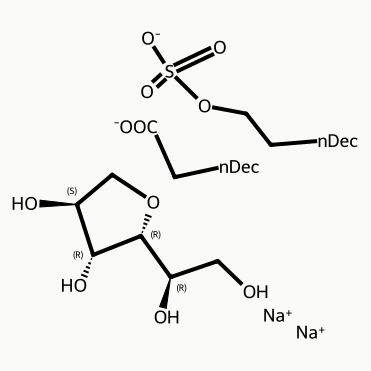 CCCCCCCCCCCC(=O)[O-].CCCCCCCCCCCCOS(=O)(=O)[O-].OC[C@@H](O)[C@H]1OC[C@H](O)[C@H]1O.[Na+].[Na+]